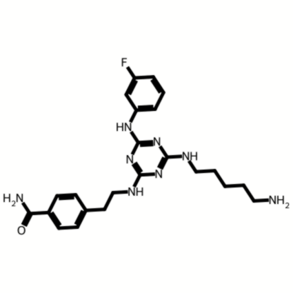 NCCCCCNc1nc(NCCc2ccc(C(N)=O)cc2)nc(Nc2cccc(F)c2)n1